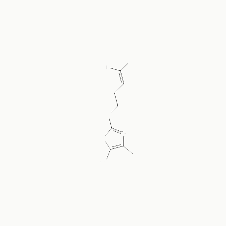 Cc1nc(SCCC=C(F)F)sc1C(=O)O